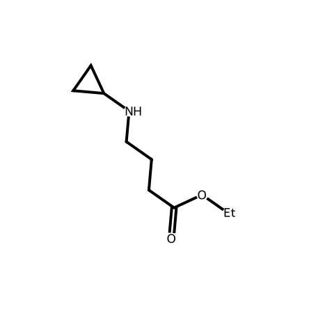 CCOC(=O)CCCNC1CC1